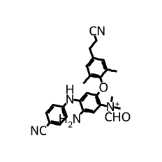 Cc1cc(CCC#N)cc(C)c1Oc1cc(Nc2ccc(C#N)cc2)c(N)cc1[N+](C)(C)C=O